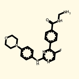 NCNC(=O)c1ccc(-c2nc(Nc3ccc(N4CCOCC4)cc3)ncc2F)cc1